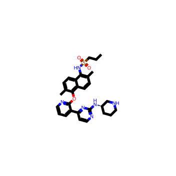 CCCS(=O)(=O)Nc1c(C)ccc2c(Oc3ncccc3-c3ccnc(N[C@H]4CCCNC4)n3)c(C)ccc12